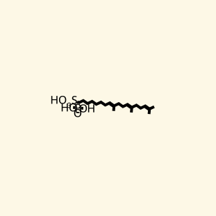 CC(C)=CCC/C(C)=C/CC/C(C)=C/CCCCCCC(P(=O)(O)O)S(=O)(=O)O